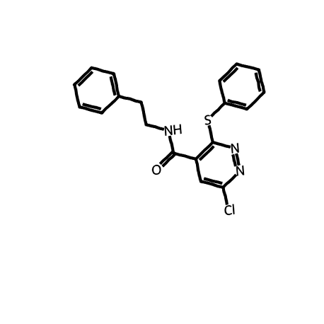 O=C(NCCc1ccccc1)c1cc(Cl)nnc1Sc1ccccc1